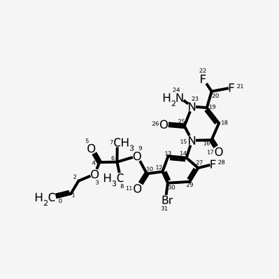 C=CCOC(=O)C(C)(C)OC(=O)c1cc(-n2c(=O)cc(C(F)F)n(N)c2=O)c(F)cc1Br